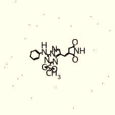 CS(=O)(=O)c1nc(NC2=CCCC=C2)n2ncc(/C=C3\CC(=O)NC3=O)c2n1